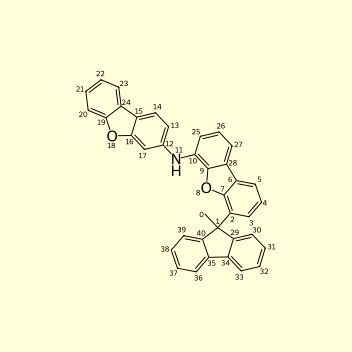 CC1(c2cccc3c2oc2c(Nc4ccc5c(c4)oc4ccccc45)cccc23)c2ccccc2-c2ccccc21